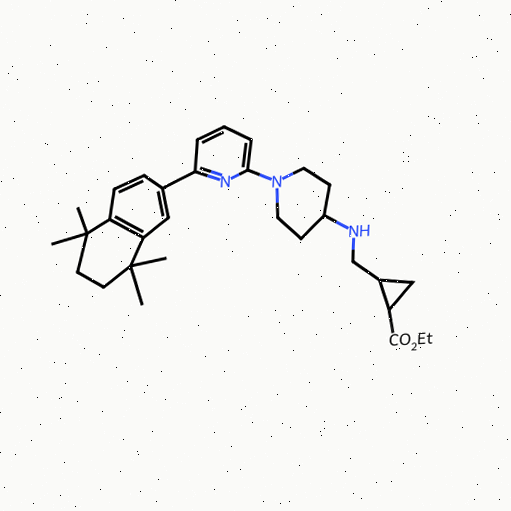 CCOC(=O)C1CC1CNC1CCN(c2cccc(-c3ccc4c(c3)C(C)(C)CCC4(C)C)n2)CC1